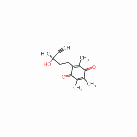 C#C[C@@](C)(O)CCC1=C(C)C(=O)C(C)=C(C)C1=O